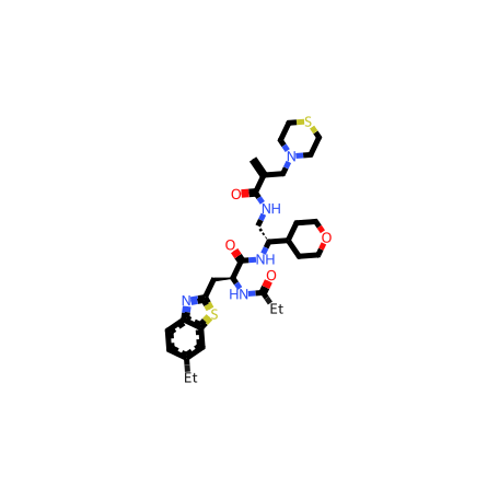 C=C(CN1CCSCC1)C(=O)NC[C@@H](NC(=O)[C@H](Cc1nc2ccc(CC)cc2s1)NC(=O)CC)C1CCOCC1